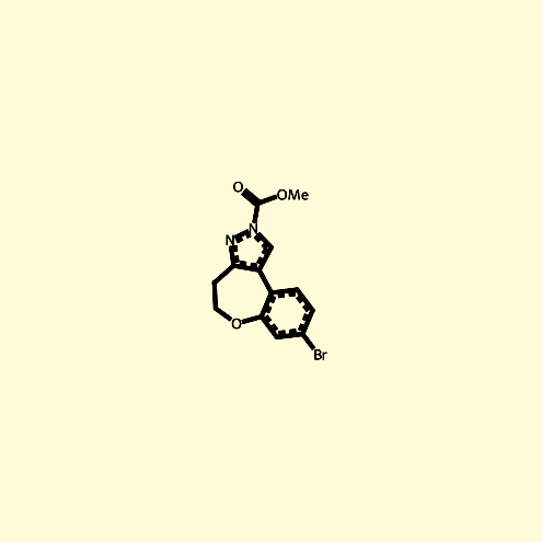 COC(=O)n1cc2c(n1)CCOc1cc(Br)ccc1-2